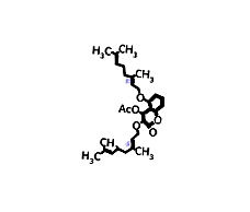 CC(=O)Oc1c(OC/C=C(\C)CCC=C(C)C)c(=O)oc2cccc(OC/C=C(\C)CCC=C(C)C)c12